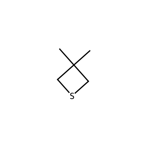 CC1(C)CSC1